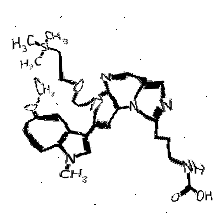 COc1ccc2c(c1)c(-c1cc3c(ncc4cnc(CCCNC(=O)O)n43)n1COCC[Si](C)(C)C)cn2C